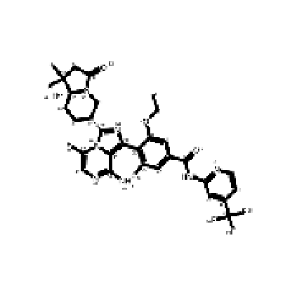 CCOc1cc(C(=O)Nc2cc(C(F)(F)F)ccn2)cc(F)c1-c1nc([C@@H]2CC[C@@H]3N(C2)C(=O)CC3(C)C)n2c(F)cnc(N)c12